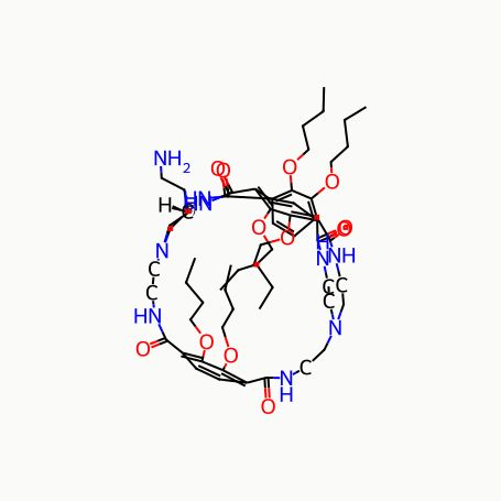 CCCCOc1c2ccc(c1OCCCC)C(=O)NCCN1CCNC(=O)c3ccc(c(OCCCC)c3OCCCC)C(=O)NCCN(CCNC2=O)CCNC(=O)c2ccc(c(OCCCC)c2OCCCC)C(=O)N[C@@H](CCN)C1